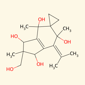 CC(C)=C1C2=C(C(O)C(C)(CO)C2O)C(C)(O)C2(CC2)C1(C)O